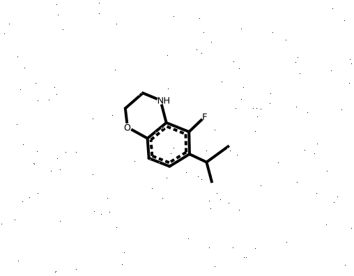 CC(C)c1ccc2c(c1F)NCCO2